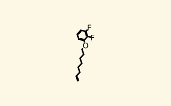 C=CCCCCCCOc1cccc(F)c1F